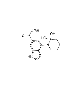 COC(=O)c1cc(N2CCCCS2(O)O)c2cc[nH]c2c1